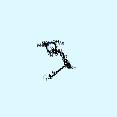 CO[C@H]1/C=C\C=C(/C)C(=O)NC2=CC(=O)C(NCCN3CCN(C(=O)Oc4ccc5c(c4)C[C@@H](CCCCCCCCC[S+]([O-])CCCC(F)(F)C(F)(F)F)[C@@H]4[C@@H]5CC[C@]5(C)[C@@H](O)CC[C@@H]45)CC3)=C(C[C@@H](C)C[C@H](OC)[C@@H](O)[C@@H](C)/C=C(\C)[C@@H]1OC(N)=O)C2=O